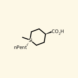 CCCCC[Si@]1(C)CC[C@@H](C(=O)O)CC1